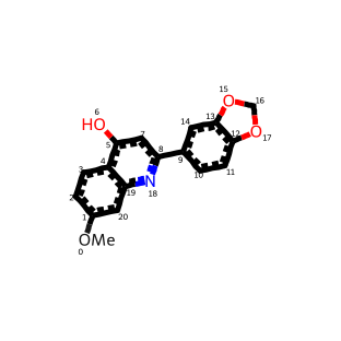 COc1ccc2c(O)cc(-c3ccc4c(c3)OCO4)nc2c1